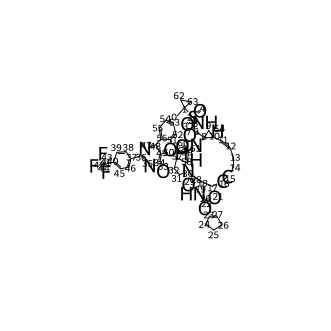 CC1(S(=O)(=O)NC(=O)[C@@]23C[C@H]2/C=C\CCCCC[C@H](NC(=O)OC2CCCC2)C(=O)N2C[C@H](Oc4nc(-c5ccc(C(F)(F)F)cc5)nc5c4oc4ccccc45)C[C@H]2C(=O)N3)CC1